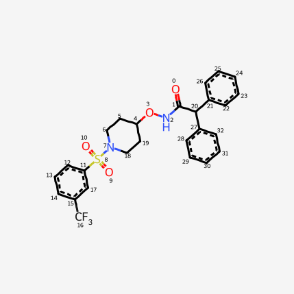 O=C(NOC1CCN(S(=O)(=O)c2cccc(C(F)(F)F)c2)CC1)C(c1ccccc1)c1ccccc1